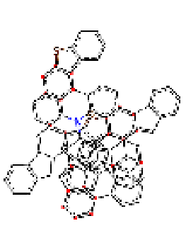 C1=CC2(C3=Cc4ccccc4C3=C1)C1=Cc3ccccc3C1=CC=C2C1=C(N(c2ccccc2-c2cccc3sc4ccccc4c23)c2cccc3ccccc23)C2(C=CC=C3C2=Cc2ccccc23)C2=Cc3cccc(-c4ccccc4-c4ccccc4-c4ccccc4)c3C2=C1c1ccccc1-c1cccc2sc3ccccc3c12